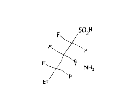 CCC(F)(F)C(F)(F)C(F)(F)S(=O)(=O)O.N